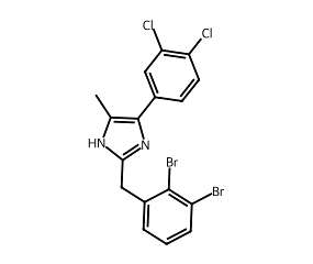 Cc1[nH]c(Cc2cccc(Br)c2Br)nc1-c1ccc(Cl)c(Cl)c1